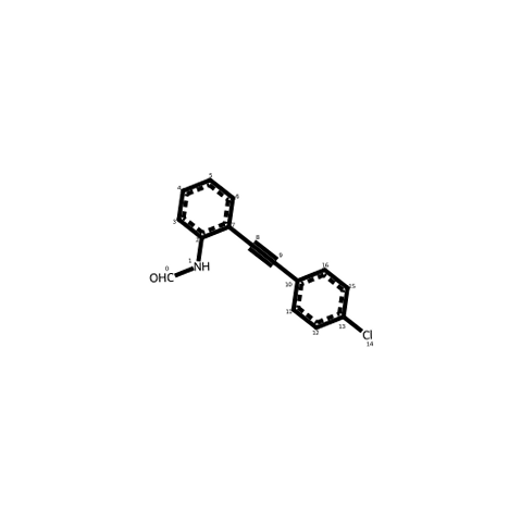 O=CNc1ccccc1C#Cc1ccc(Cl)cc1